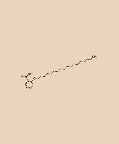 CCCCCCCCCCCCCCCCCCOc1ccccc1C([NH])=O